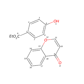 CCOC(=O)c1ccc(O)cc1.O=c1ccoc2ccccc12